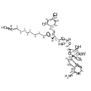 CCCCCCCCCCCCCCCCCCOC[C@H](COP(=O)(O)OC[C@H]1O[C@@](C#N)(c2ccc3c(N)ncnn23)[C@H](O)[C@@H]1O)OCc1ccc(Cl)cc1Cl